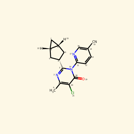 Cc1nc([C@@H]2C[C@@H]3C[C@@H]3C2)n(-c2ccc(C#N)cn2)c(=O)c1Cl